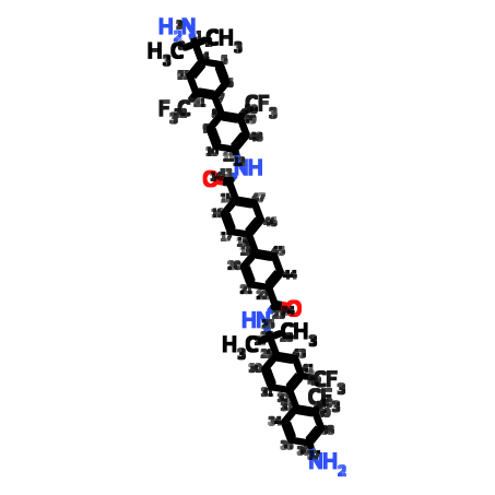 CC(C)(N)c1ccc(-c2ccc(NC(=O)c3ccc(-c4ccc(C(=O)NC(C)(C)c5ccc(-c6ccc(N)cc6C(F)(F)F)c(C(F)(F)F)c5)cc4)cc3)cc2C(F)(F)F)c(C(F)(F)F)c1